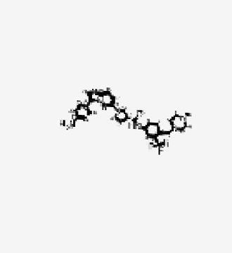 CN1CCN(Cc2ccc(NC(=O)[C@@H]3CCN(c4ccc5ncc(-c6ccc(N)nc6)n5n4)C3)cc2C(F)(F)F)CC1